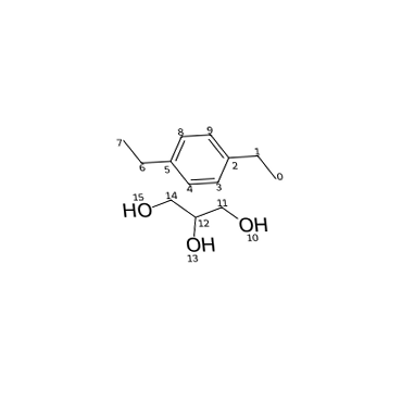 CCc1ccc(CC)cc1.OCC(O)CO